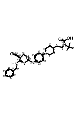 CC(C)(C)N(CCC1CCN(c2ccc(NC3=NCC(=C=O)C(NCc4ccccc4)=N3)cc2)CC1)C(=O)O